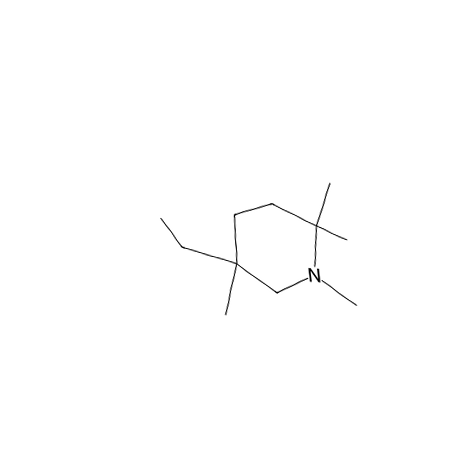 CCC1(C)CCC(C)(C)N(C)C1